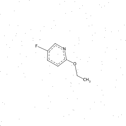 CCOc1ccc(F)cn1